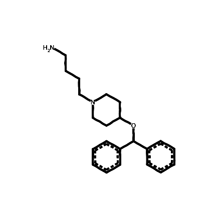 NCCCCN1CCC(OC(c2ccccc2)c2ccccc2)CC1